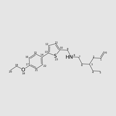 C=CCC(CC)CCNCc1ccc(-c2ccc(OCC)cc2)s1